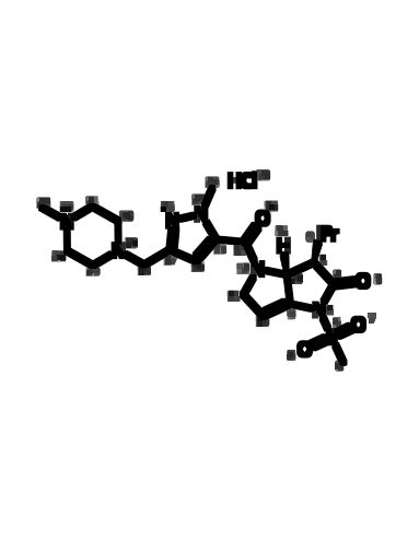 CC(C)[C@H]1C(=O)N(S(C)(=O)=O)C2=CCN(C(=O)c3cc(CN4CCN(C)CC4)nn3C)[C@@H]21.Cl